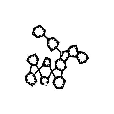 c1ccc(-c2ccc(-n3c4cc5c(cc4c4c6ccccc6ccc43)-c3ccccc3C53c4ccccc4C4(c5ccccc5-c5ccccc54)c4ccccc43)cc2)cc1